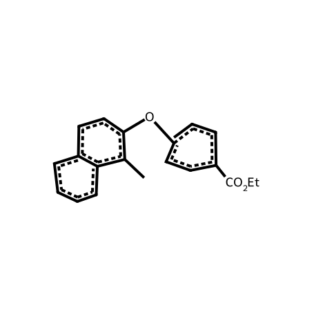 CCOC(=O)c1ccc(Oc2ccc3ccccc3c2C)cc1